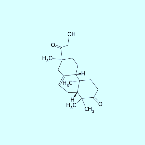 CC1(C)C(=O)CC[C@]2(C)[C@H]3CC[C@](C)(C(=O)CO)CC3=CC[C@@H]12